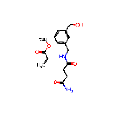 C=CC(=O)OC(C)(C)C.NC(=O)CCC(=O)NCc1cccc(CO)c1